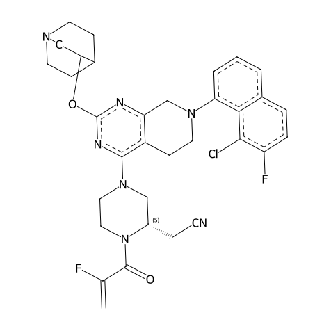 C=C(F)C(=O)N1CCN(c2nc(OC3CN4CCC3CC4)nc3c2CCN(c2cccc4ccc(F)c(Cl)c24)C3)C[C@@H]1CC#N